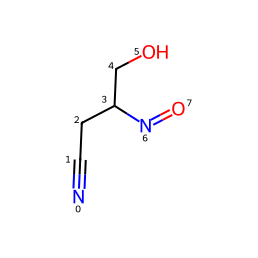 N#CCC(CO)N=O